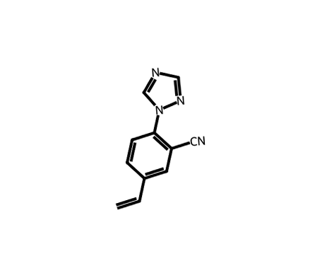 C=Cc1ccc(-n2cncn2)c(C#N)c1